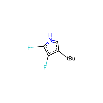 CC(C)(C)c1c[nH]c(F)c1F